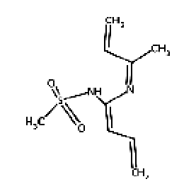 C=C/C=C(\N=C(\C)C=C)NS(C)(=O)=O